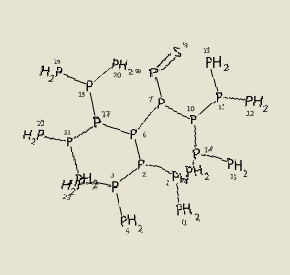 PPP(P(P)P)P(P(P=S)P(P(P)P)P(P)P)P(P(P)P)P(P)P